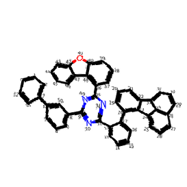 c1ccc(-c2cccc(-c3nc(-c4ccccc4-c4cccc5c4-c4cccc6cccc-5c46)nc(-c4cccc5oc6ccccc6c45)n3)c2)cc1